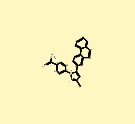 Cc1cc(-c2ccc3c(ccc4ccccc43)c2)n(-c2ccc(C(N)=O)cc2)n1